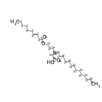 CCCCCCC=CCC(=O)OCCCN(CCCCCCCCCCCCCC)CC(=O)O